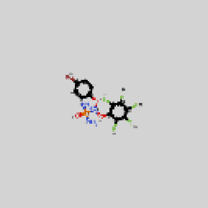 NP(N)(=O)N(Oc1ccc(Br)cc1)Oc1c(F)c(F)c(F)c(F)c1F